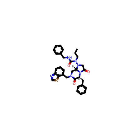 CCCN(C(=O)NCc1ccccc1)N1CC(=O)N2[C@@H](Cc3ccccc3)C(=O)N(Cc3cccc4ncsc34)C[C@@H]21